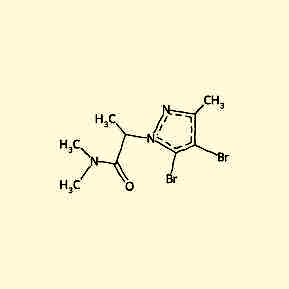 Cc1nn(C(C)C(=O)N(C)C)c(Br)c1Br